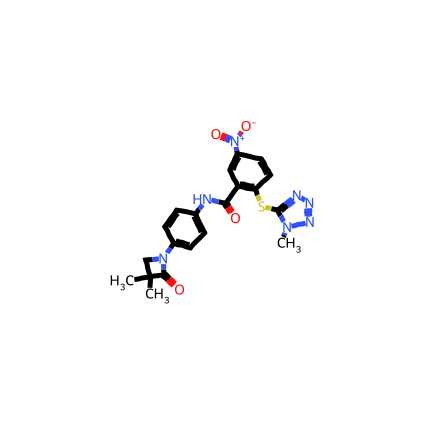 Cn1nnnc1Sc1ccc([N+](=O)[O-])cc1C(=O)Nc1ccc(N2CC(C)(C)C2=O)cc1